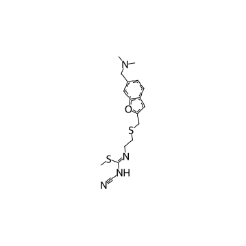 CS/C(=N\CCSCc1cc2ccc(CN(C)C)cc2o1)NC#N